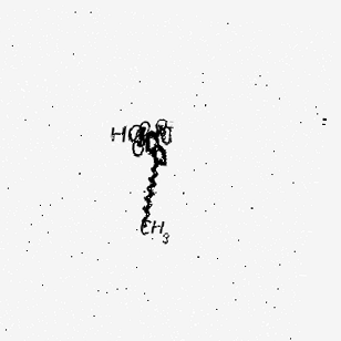 CCCCCCCCCCCCC1CCc2c1cc(S(=O)(=O)O)cc2[N+](=O)[O-]